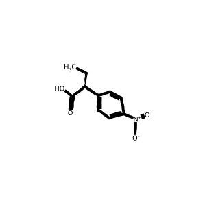 CC[C@H](C(=O)O)c1ccc([N+](=O)[O-])cc1